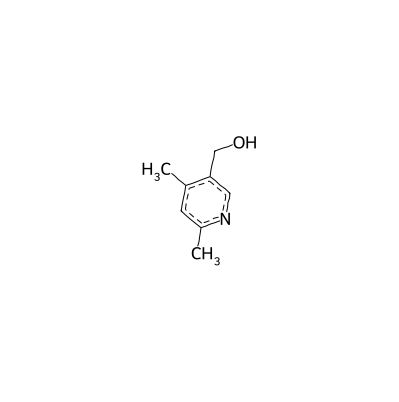 Cc1cc(C)c(CO)cn1